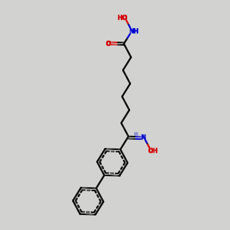 O=C(CCCCCC/C(=N/O)c1ccc(-c2ccccc2)cc1)NO